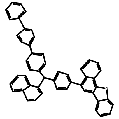 c1ccc(-c2ccc(-c3ccc(C(c4ccc(-c5cc6c7ccccc7oc6c6ccccc56)cc4)c4cccc5ccccc45)cc3)cc2)cc1